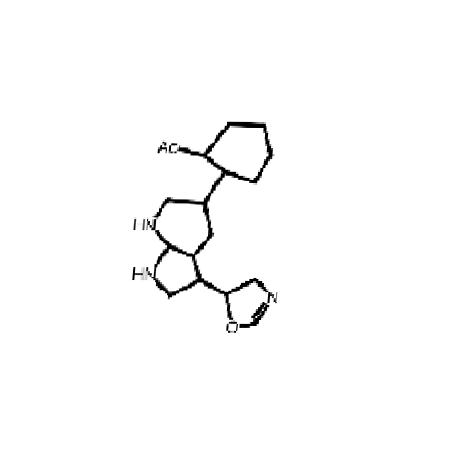 CC(=O)C1CCCCC1C1CNC2NCC(C3CN=CO3)C2C1